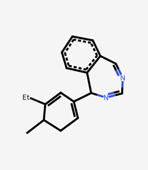 CCC1=CC(C2N=CN=Cc3ccccc32)=CCC1C